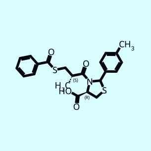 Cc1ccc(C2SC[C@@H](C(=O)O)N2C(=O)[C@H](C)CSC(=O)c2ccccc2)cc1